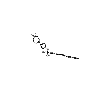 CC#CC#CC#CC#CC#CC(O)(O)Oc1ccc(N2CCCS(=O)(=O)CC2)cc1